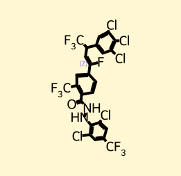 O=C(NNc1c(Cl)cc(C(F)(F)F)cc1Cl)c1ccc(/C(F)=C/C(c2cc(Cl)c(Cl)c(Cl)c2)C(F)(F)F)cc1C(F)(F)F